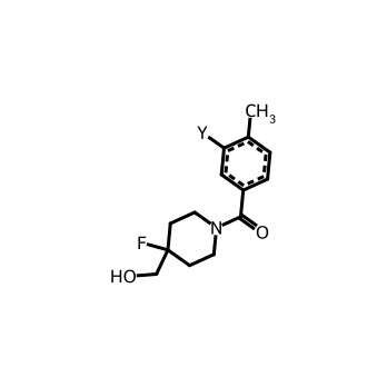 Cc1ccc(C(=O)N2CCC(F)(CO)CC2)c[c]1[Y]